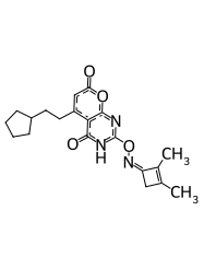 CC1=C(C)/C(=N\Oc2nc3oc(=O)cc(CCC4CCCC4)c3c(=O)[nH]2)C1